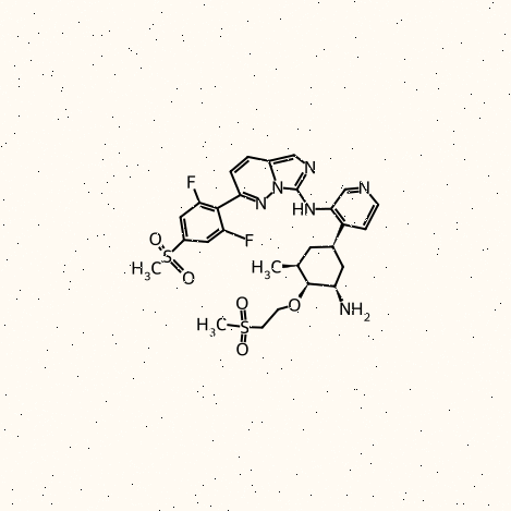 C[C@H]1C[C@@H](c2ccncc2Nc2ncc3ccc(-c4c(F)cc(S(C)(=O)=O)cc4F)nn23)C[C@@H](N)[C@H]1OCCS(C)(=O)=O